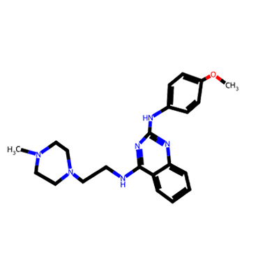 COc1ccc(Nc2nc(NCCN3CCN(C)CC3)c3ccccc3n2)cc1